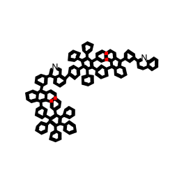 c1ccc(-c2c(-c3ccccc3)c(-c3ccccc3)c(-c3cccc(-c4c5ccccc5c(-c5cccc(-c6ccc7ccccc7n6)c5)c5ccccc45)c3)c(-c3ccccc3)c2-c2ccc(-c3cccc4c(-c5cccc(-c6c7ccccc7c(-c7cccc(-c8c(-c9ccccc9)c(-c9ccccc9)c(-c9ccccc9)c(-c9ccccc9)c8-c8ccccc8)c7)c7ccccc67)c5)cncc34)cc2)cc1